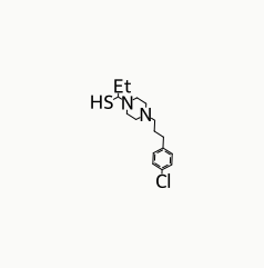 CCC(S)N1CCN(CCCc2ccc(Cl)cc2)CC1